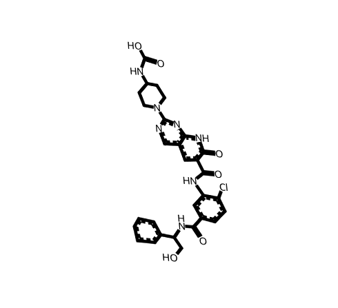 O=C(O)NC1CCN(c2ncc3cc(C(=O)Nc4cc(C(=O)NC(CO)c5ccccc5)ccc4Cl)c(=O)[nH]c3n2)CC1